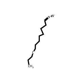 CCCCCCCCCCCC=[N+]=[N-]